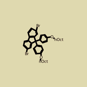 CCCCCCCCOc1ccc(C2(c3ccc(OCCCCCCCC)cc3)c3cc(Br)ccc3-c3ccc(Br)cc32)cc1